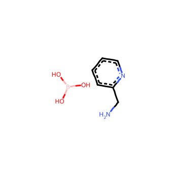 NCc1ccccn1.OB(O)O